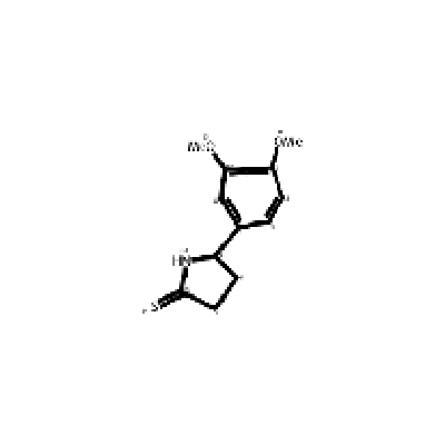 COc1ccc(C2CCC(=S)N2)cc1OC